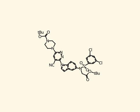 CC(C)(C)OC(=O)CN(c1ccc2c(ccn2-c2nnc(N3CCN(C(=O)OC(C)(C)C)CC3)cc2C#N)c1)S(=O)(=O)c1cc(Cl)cc(Cl)c1